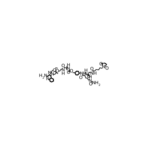 CCOCc1nc2c(N)nc3ccccc3c2n1CC(C)(C)OCCNC(=O)C(C)(C)NC(=O)OCc1ccc(NC(=O)C(CCCNC(N)=O)NC(=O)CNC(=O)CCCCCN2C(=O)C=CC2=O)cc1